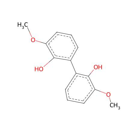 COc1cccc(-c2cccc(OC)c2O)c1O